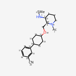 CSN[C@H]1CCCN(C(C)=O)[C@H]1COC1CCC(c2cccc(C#N)c2)CC1